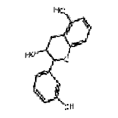 Oc1cccc(C2Oc3cccc(O)c3CC2O)c1